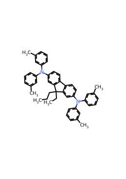 CCCC1(CC)c2cc(N(c3cccc(C)c3)c3cccc(C)c3)ccc2-c2ccc(N(c3cccc(C)c3)c3cccc(C)c3)cc21